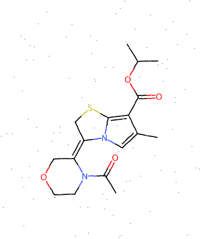 CC(=O)N1CCOCC1=C1CSc2c(C(=O)OC(C)C)c(C)cn21